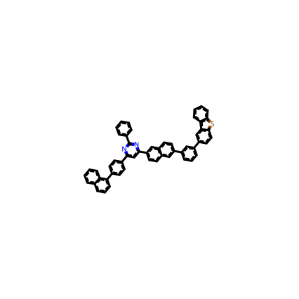 c1ccc(-c2nc(-c3ccc(-c4cccc5ccccc45)cc3)cc(-c3ccc4cc(-c5cccc(-c6ccc7sc8ccccc8c7c6)c5)ccc4c3)n2)cc1